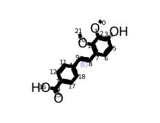 COc1c(O)ccc(/C=C/c2ccc(C(=O)O)cc2)c1OC